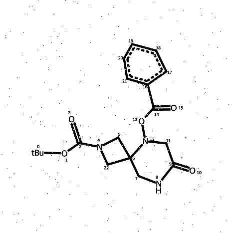 CC(C)(C)OC(=O)N1CC2(CNC(=O)CN2OC(=O)c2ccccc2)C1